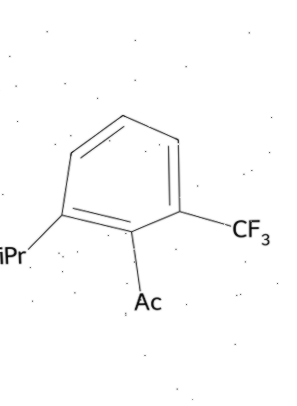 CC(=O)c1c(C(C)C)cccc1C(F)(F)F